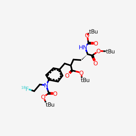 CC(C)(C)OC(=O)N[C@@H](CCC(Cc1ccc(N(CC[18F])C(=O)OC(C)(C)C)cc1)C(=O)OC(C)(C)C)C(=O)OC(C)(C)C